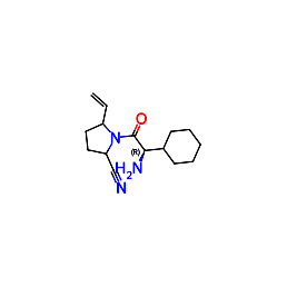 C=CC1CCC(C#N)N1C(=O)[C@H](N)C1CCCCC1